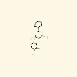 COc1ccc(Nc2cc(Cl)nc(-c3ccccc3)n2)cc1Cl